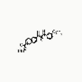 CC(C)(C)OC(=O)N1CCc2cc(NC(=O)Nc3cccc(OC(F)(F)F)c3)ccc2C1